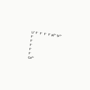 [Al+3].[F-].[F-].[F-].[F-].[F-].[F-].[F-].[F-].[F-].[Ga+3].[Li+].[Sr+2]